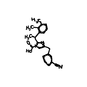 Cc1cccc([C@H](C)c2nc(Cc3cccc(C#N)c3)cn2C(=O)O)c1C